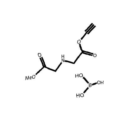 C#COC(=O)CNCC(=O)OC.OB(O)O